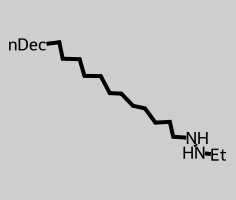 CCCCCCCCCCCCCCCCCCCCCCNNCC